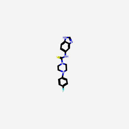 Fc1ccc(N2CCN(C(=S)Nc3ccc4[nH]cnc4c3)CC2)cc1